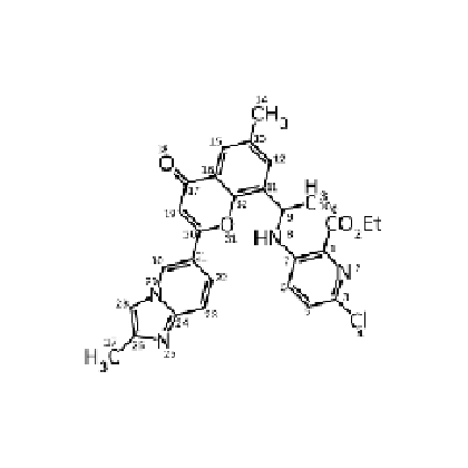 CCOC(=O)c1nc(Cl)ccc1NC(C)c1cc(C)cc2c(=O)cc(-c3ccc4nc(C)cn4c3)oc12